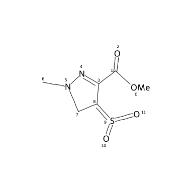 COC(=O)C1=NN(C)CC1=S(=O)=O